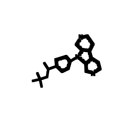 CC(CC(C)(C)C)c1ccc(-n2c3cnccc3c3ccncc32)cc1